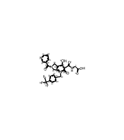 O=C(O)CNC(=O)c1c(O)c2c(n(Cc3ccc(C(F)(F)F)cc3)c1=O)CN(C(=O)c1cccnc1)C2